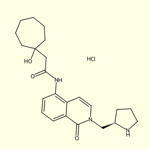 Cl.O=C(CC1(O)CCCCCC1)Nc1cccc2c(=O)n(C[C@H]3CCCN3)ccc12